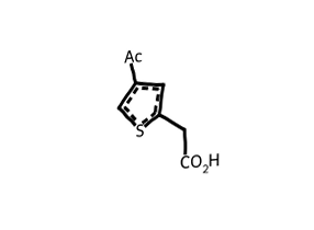 CC(=O)c1csc(CC(=O)O)c1